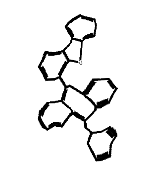 C1=CCC(c2c3ccccc3c(-c3cccc4c3oc3ccccc34)c3ccccc23)C=C1